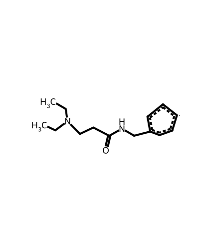 CCN(CC)CCC(=O)NCc1cc[c]cc1